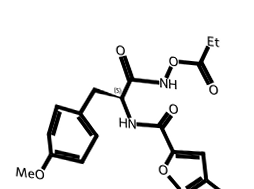 CCC(=O)ONC(=O)[C@H](Cc1ccc(OC)cc1)NC(=O)c1cc(C)no1